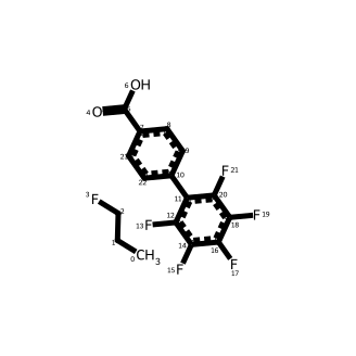 CCCF.O=C(O)c1ccc(-c2c(F)c(F)c(F)c(F)c2F)cc1